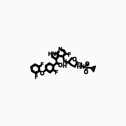 O=C(c1ccc(Oc2c(F)cccc2F)cc1F)c1c[nH]c2ncc(F)c(N[C@@H]3CC[C@@H](CNS(=O)(=O)C4CC4)OC3)c12